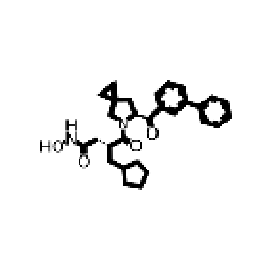 O=C(C[C@@H](CC1CCCC1)C(=O)N1CC2(CC2)C[C@H]1C(=O)c1cccc(-c2ccccc2)c1)NO